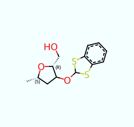 C[C@H]1CC(OC2Sc3ccccc3S2)[C@@H](CO)O1